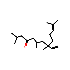 C=CC(C)(CCC=C(C)C)CC(C)CC(=O)CC(C)C